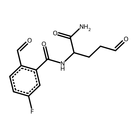 NC(=O)C(CCC=O)NC(=O)c1cc(F)ccc1C=O